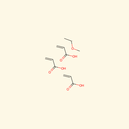 C=CC(=O)O.C=CC(=O)O.C=CC(=O)O.C[CH]OC